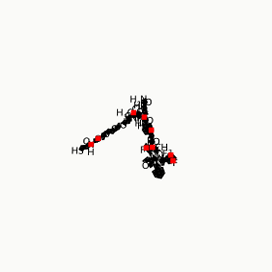 CC(C)C(NC(=O)CCOCCOCCOCCOCCNC(=O)CCS)C(=O)N[C@@H](CCCNC(N)=O)C(=O)Nc1ccc(COC(=O)N2C[C@@H](CN(C(=O)[C@@H](C)O)[C@@H](c3nc(-c4cc(F)ccc4F)cn3Cc3ccccc3)C3CCOCC3)[C@@H](F)C2)cc1